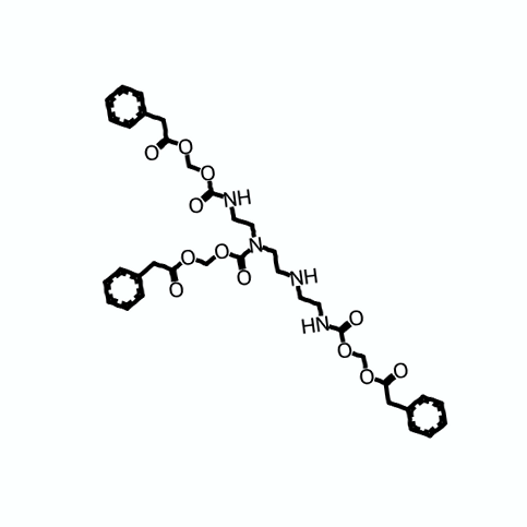 O=C(Cc1ccccc1)OCOC(=O)NCCNCCN(CCNC(=O)OCOC(=O)Cc1ccccc1)C(=O)OCOC(=O)Cc1ccccc1